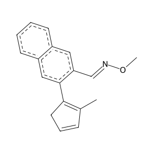 CON=Cc1cc2ccccc2cc1C1=C(C)C=CC1